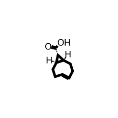 O=C(O)[C@H]1[C@@H]2CC/C=C/CC[C@@H]21